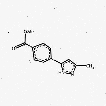 COC(=O)c1ccc(-c2cc(C)n[nH]2)cc1